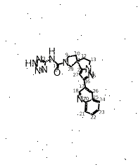 O=C(Nc1nn[nH]n1)N1CCC2(CCn3nc(-c4cnc5ccccc5c4)cc32)C1